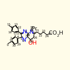 Cc1ccc(-c2nc3c(nc2-c2ccc(C)cc2)N(C(C)C)C(CCCCC(=O)O)CC3O)cc1